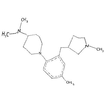 Cc1ccc(N2CCC(N(C)C)CC2)c(CC2CCN(C)C2)c1